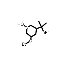 CCCC(C)(C)C1CC(OCC)CN(O)C1